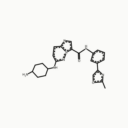 Cc1nc(-c2cccc(NC(=O)c3cnc4ccc(NC5CCC(N)CC5)nn34)c2)co1